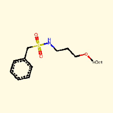 CCCCCCCCOCCCNS(=O)(=O)Cc1ccccc1